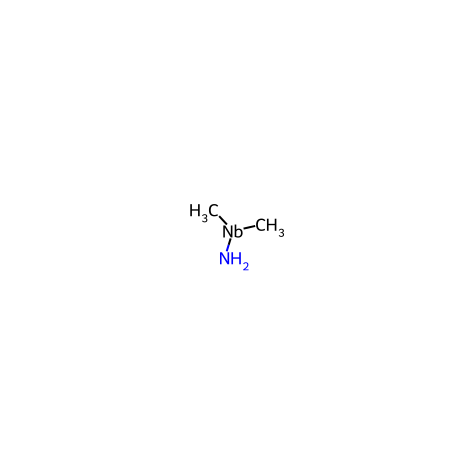 [CH3][Nb]([CH3])[NH2]